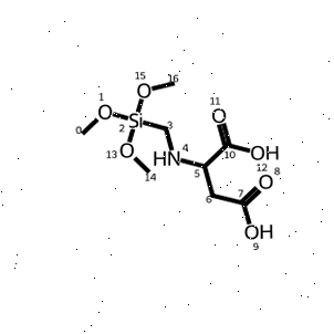 CO[Si](CNC(CC(=O)O)C(=O)O)(OC)OC